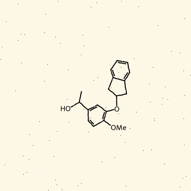 COc1ccc(C(C)O)cc1OC1Cc2ccccc2C1